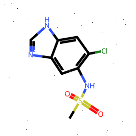 CS(=O)(=O)Nc1cc2nc[nH]c2cc1Cl